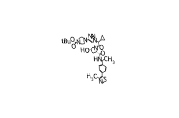 Cc1ncsc1-c1ccc([C@H](C)NC(=O)[C@@H]2C[C@@H](O)CN2C(=O)C(C2CC2)n2cc(N3CCN(C(=O)OC(C)(C)C)CC3)nn2)cc1